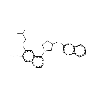 COc1cc2ncnc(N3CCC(Oc4cnc5ccccc5n4)C3)c2cc1OCC(F)F